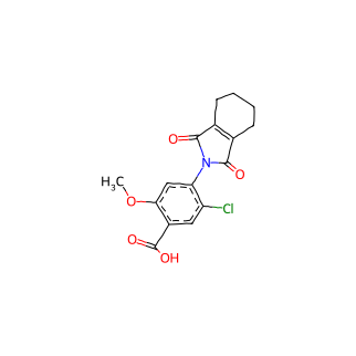 COc1cc(N2C(=O)C3=C(CCCC3)C2=O)c(Cl)cc1C(=O)O